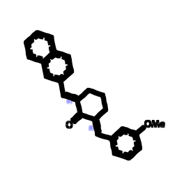 COc1cccc(/C=C2\CCC/C(=C\c3ccc4ccccc4c3)C2=O)c1